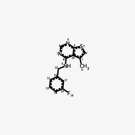 Cc1csc2ncnc(NCc3cccc(F)c3)c12